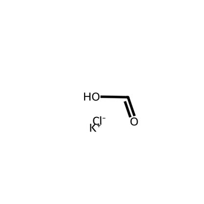 O=CO.[Cl-].[K+]